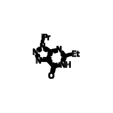 CCc1nc2c(nnn2C(C)C)c(=O)[nH]1